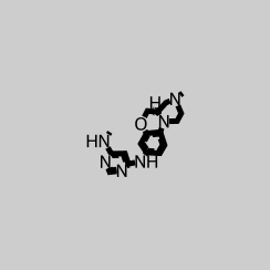 CNc1cc(Nc2ccc3c(c2)OC[C@H]2CN(C)CCN32)ncn1